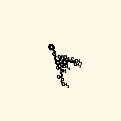 CCOC(=O)CCNC(=O)N(C)C1(c2ccc(CCC(C)(C)C)c(Cl)c2)CCC(CCOCc2ccccc2)C1CO